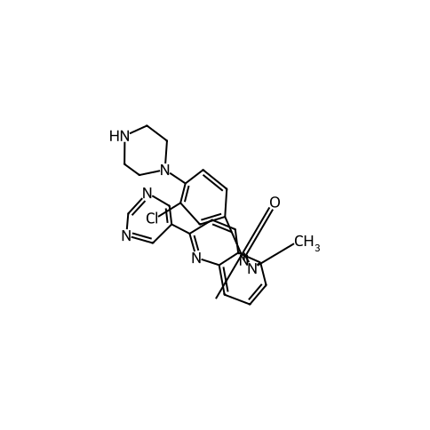 CN1C(=O)N(c2ccc(N3CCNCC3)c(Cl)c2)C23C=CC(c4cncnc4)=NC2=CC=CC13